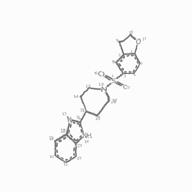 O=S(=O)(c1ccc2c(c1)CCO2)N1CCC(c2nc3ccccc3[nH]2)CC1